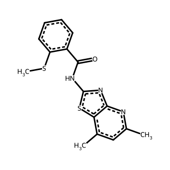 CSc1ccccc1C(=O)Nc1nc2nc(C)cc(C)c2s1